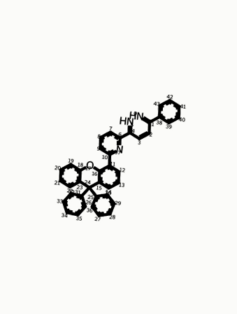 N=C(/C=C\C(=N)c1cccc(-c2cccc3c2Oc2ccccc2C3(c2ccccc2)c2ccccc2)n1)c1ccccc1